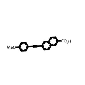 COc1ccc(C#Cc2ccc3cc(C(=O)O)ccc3c2)cc1